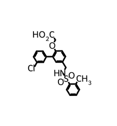 Cc1ccccc1S(=O)(=O)NCc1ccc(OCC(=O)O)c(-c2cccc(Cl)c2)c1